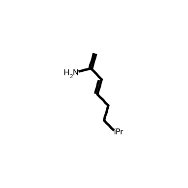 C=C(N)/C=C/CCC(C)C